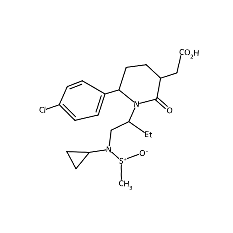 CCC(CN(C1CC1)[S+](C)[O-])N1C(=O)C(CC(=O)O)CCC1c1ccc(Cl)cc1